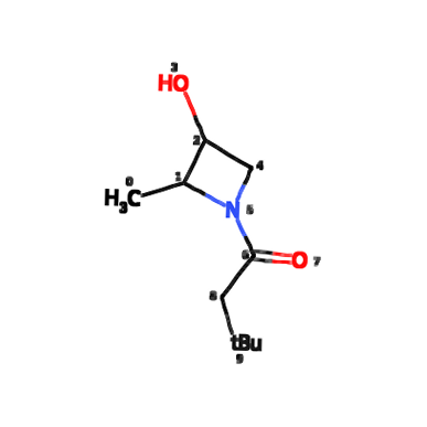 CC1C(O)CN1C(=O)CC(C)(C)C